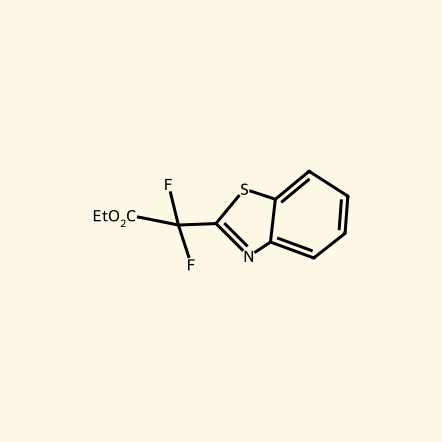 CCOC(=O)C(F)(F)c1nc2ccccc2s1